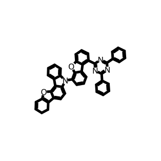 C1=Cc2oc3c(ccc4c3c3ccccc3n4-c3cccc4c3oc3cccc(-c5nc(-c6ccccc6)nc(-c6ccccc6)n5)c34)c2CC1